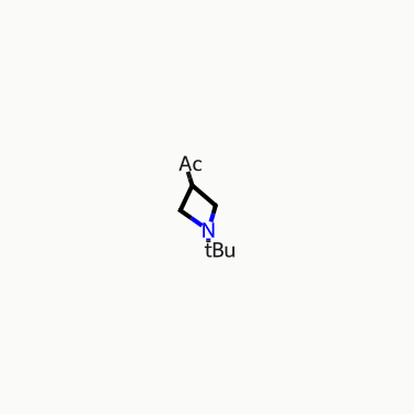 CC(=O)C1CN(C(C)(C)C)C1